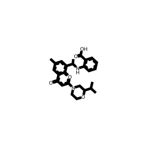 Cc1cc(C(C)Nc2ccccc2C(=O)O)c2oc(N3CCOC(C(C)C)C3)cc(=O)c2c1